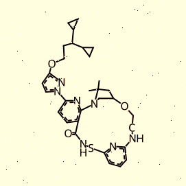 CC1(C)CC2CN1c1nc(-n3ccc(OCCC(C4CC4)C4CC4)n3)ccc1C(=O)NSc1cccc(n1)NCCO2